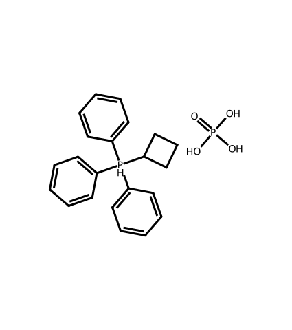 O=P(O)(O)O.c1ccc([PH](c2ccccc2)(c2ccccc2)C2CCC2)cc1